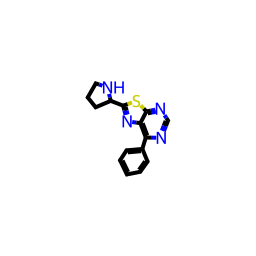 c1ccc(-c2ncnc3sc(C4CCCN4)nc23)cc1